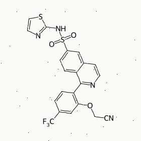 N#CCOc1cc(C(F)(F)F)ccc1-c1nccc2cc(S(=O)(=O)Nc3nccs3)ccc12